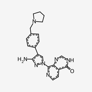 Nc1nn(-c2nccc3c(=O)[nH]cnc23)cc1-c1ccc(CN2CCCC2)cc1